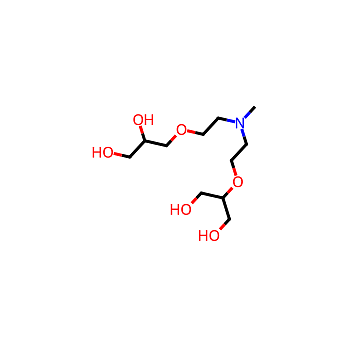 CN(CCOCC(O)CO)CCOC(CO)CO